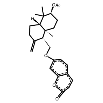 C=C1CC[C@@H]2C(C)(C)[C@@H](OC(C)=O)CC[C@@]2(C)[C@@H]1COc1ccc2ccc(=O)oc2c1